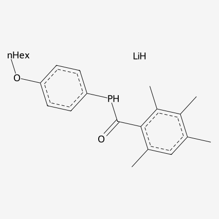 CCCCCCOc1ccc(PC(=O)c2c(C)cc(C)c(C)c2C)cc1.[LiH]